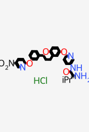 CC(C)[C@H](N)C(=O)Nc1ccc(Oc2ccc3c(c2)CCC(c2cccc(Oc4ccc([N+](=O)[O-])cn4)c2)O3)nc1.Cl